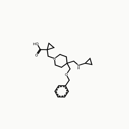 O=C(O)C1(CN2CCC(CNC3CC3)(COCc3ccccc3)CC2)CC1